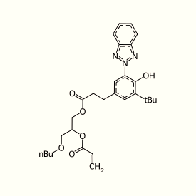 C=CC(=O)OC(COCCCC)COC(=O)CCc1cc(-n2nc3ccccc3n2)c(O)c(C(C)(C)C)c1